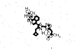 CC(C)NS(=O)(=O)c1ncc(-c2sc(-c3noc(CC(C)(C)OC=O)n3)nc2CC2CCC2)c2ccccc12